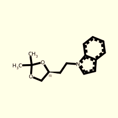 CC1(C)OC[C@H](CCn2ccc3ccccc32)O1